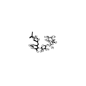 CC(C)n1cc(Cc2[nH]c(=O)[nH]c(=O)c2[C@@H]2O[C@H](COP(=O)(O)OP(=O)(O)OP(=O)(O)O)C(O)[C@@H]2O)nn1